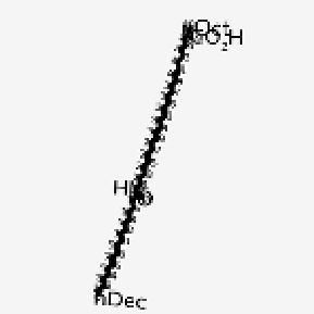 CCCCCCCCCCCCCCCCCCCCCCCCCCCC(=O)NCCCCCCCCCCCCCCCCCCCCCCCCCCC(CCCCCCCC)C(=O)O